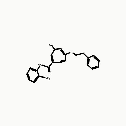 O=C(Nc1ccccc1C(F)(F)F)C1=CC(Cl)C=C(OCCc2ccccc2)C=C1